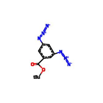 CC(C)(C)OC(=O)c1cc(N=[N+]=[N-])cc(N=[N+]=[N-])c1